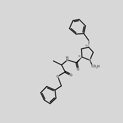 CC(NC(=O)[C@H]1C[C@H](Cc2ccccc2)CN1C(=O)O)C(=O)OCc1ccccc1